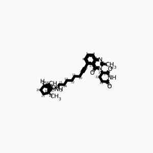 Cc1nc2cccc(C#CCCCCCCN[C@H]3C[C@H]4CC[C@]3(C)C4(C)C)c2c(=O)n1C1CCC(=O)NC1=O